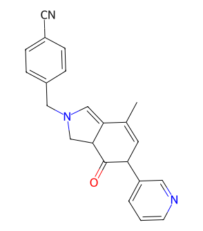 CC1=CC(c2cccnc2)C(=O)C2CN(Cc3ccc(C#N)cc3)C=C12